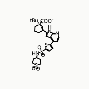 CC(C)(C)[N+]1(C(=O)[O-])C=C(c2cc3c(-c4ccc(S(=O)(=O)NC5CCS(=O)(=O)CC5)s4)ccnc3[nH]2)CCC1